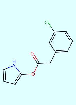 O=C(Cc1cccc(Cl)c1)Oc1ccc[nH]1